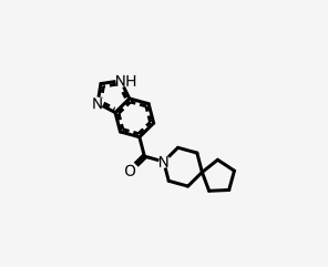 O=C(c1ccc2[nH]cnc2c1)N1CCC2(CCCC2)CC1